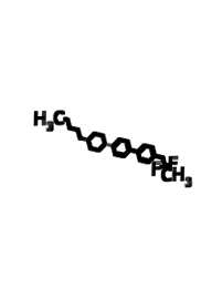 CCCCC[C@H]1CC[C@H](c2ccc(-c3ccc(CC(C)(F)F)cc3)cc2)CC1